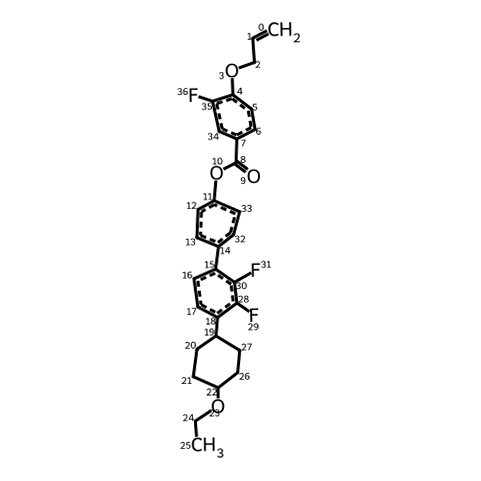 C=CCOc1ccc(C(=O)Oc2ccc(-c3ccc(C4CCC(OCC)CC4)c(F)c3F)cc2)cc1F